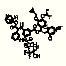 CS(=O)(=O)Nc1cc(NC(C(=O)O[C@H]2CN3CCC2CC3)c2ccccc2)cc(C(=O)O[C@@H](Cc2c(Cl)c[n+]([O-])cc2Cl)c2ccc(OC(F)F)c(OCC3CC3)c2)c1.O=C(O)C(F)(F)F